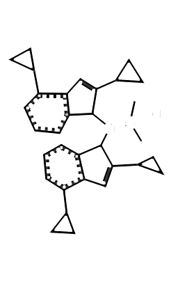 C[Si](C)=[Zr+2]([CH]1C(C2CC2)=Cc2c(C3CC3)cccc21)[CH]1C(C2CC2)=Cc2c(C3CC3)cccc21.[Cl-].[Cl-]